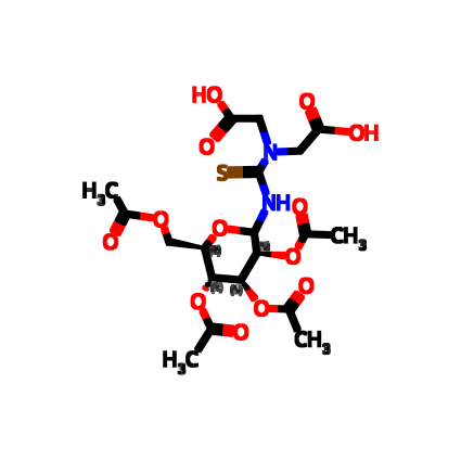 CC(=O)OC[C@H]1OC(NC(=S)N(CC(=O)O)CC(=O)O)[C@@H](OC(C)=O)[C@@H](OC(C)=O)[C@@H]1OC(C)=O